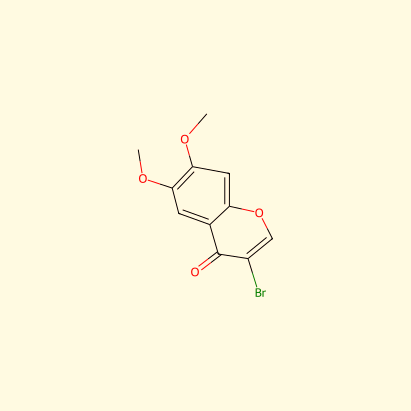 COc1cc2occ(Br)c(=O)c2cc1OC